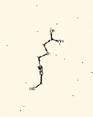 OCC#CCOCC(O)O